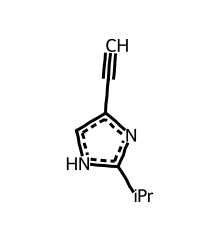 C#Cc1c[nH]c(C(C)C)n1